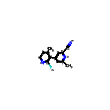 Cc1cc(-c2c(C)ccnc2F)cc(C#N)n1